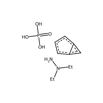 CCN(N)CC.O=P(O)(O)O.c1cc2cc-2c1